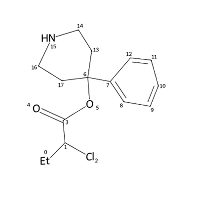 CCC(Cl)C(=O)OC1(c2ccccc2)CCNCC1